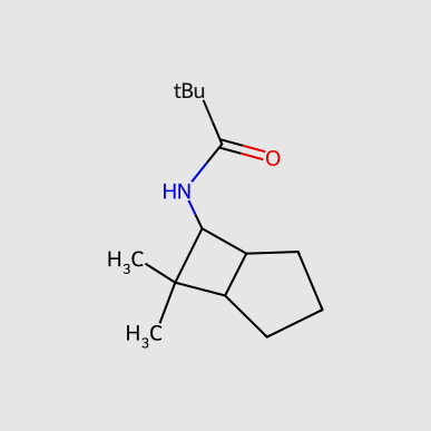 CC(C)(C)C(=O)NC1C2CCCC2C1(C)C